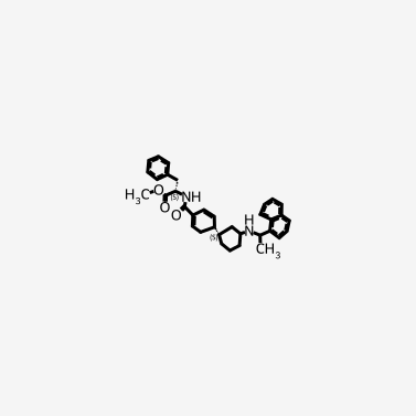 COC(=O)[C@H](Cc1ccccc1)NC(=O)C1=CCC([C@H]2CCCC(NC(C)c3cccc4ccccc34)C2)C=C1